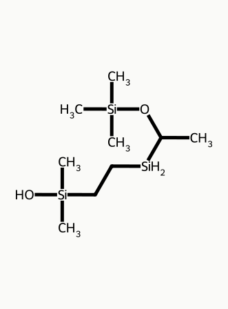 CC(O[Si](C)(C)C)[SiH2]CC[Si](C)(C)O